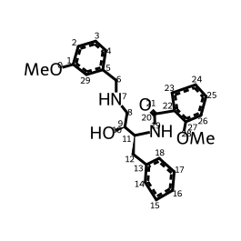 COc1cccc(CNC[C@H](O)[C@H](Cc2ccccc2)NC(=O)c2ccccc2OC)c1